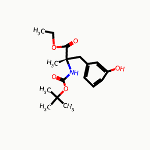 CCOC(=O)[C@](C)(Cc1cccc(O)c1)NC(=O)OC(C)(C)C